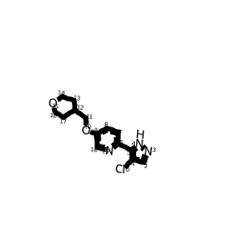 Clc1cn[nH]c1-c1ccc(OCC2CCOCC2)cn1